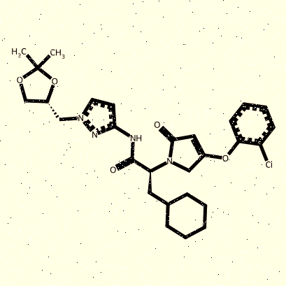 CC1(C)OC[C@@H](Cn2ccc(NC(=O)[C@H](CC3CCCCC3)N3CC(Oc4ccccc4Cl)=CC3=O)n2)O1